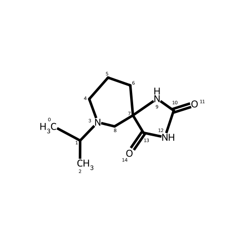 CC(C)N1CCCC2(C1)NC(=O)NC2=O